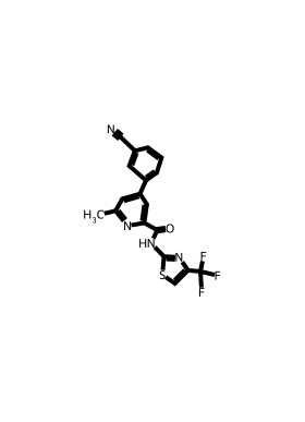 Cc1cc(-c2cccc(C#N)c2)cc(C(=O)Nc2nc(C(F)(F)F)cs2)n1